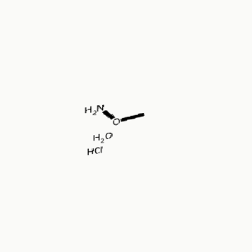 CON.Cl.O